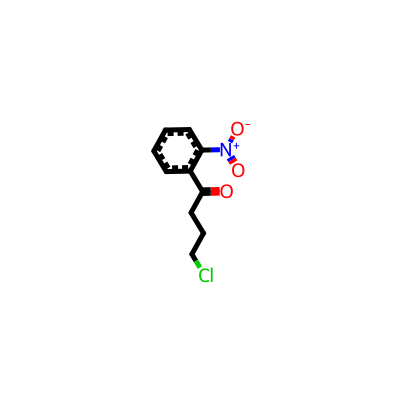 O=C(CCCCl)c1ccccc1[N+](=O)[O-]